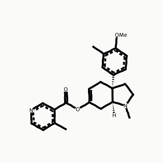 COc1ccc([C@@]23CC=C(OC(=O)c4cnccc4C)C[C@@H]2N(C)CC3)cc1C